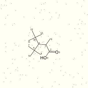 CC(C(=O)O)C(C(C)(C)C)C(C)(C)C